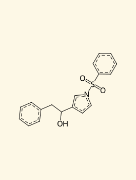 O=S(=O)(c1ccccc1)n1ccc(C(O)Cc2ccccc2)c1